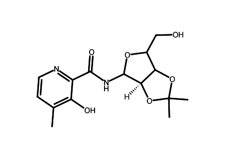 Cc1ccnc(C(=O)NC2OC(CO)C3OC(C)(C)O[C@@H]23)c1O